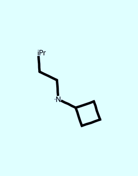 CC(C)CC[N]C1CCC1